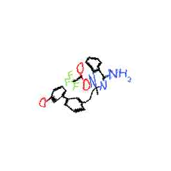 COc1cccc(-c2cccc(CCC3(C)N=C(N)c4ccccc4N3OC(=O)C(F)(F)F)c2)c1